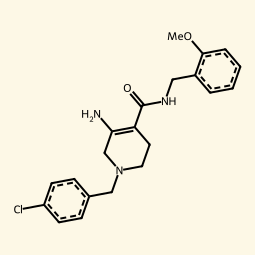 COc1ccccc1CNC(=O)C1=C(N)CN(Cc2ccc(Cl)cc2)CC1